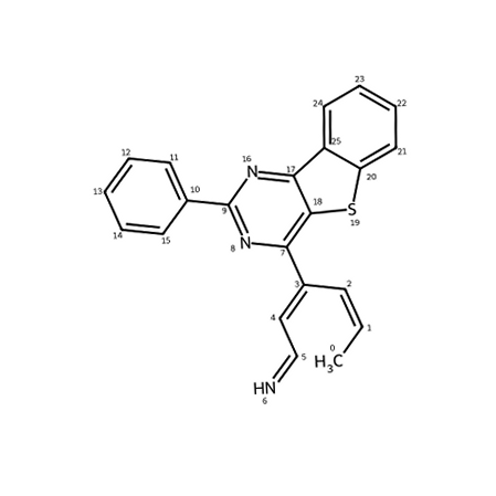 C/C=C\C(=C/C=N)c1nc(-c2ccccc2)nc2c1sc1ccccc12